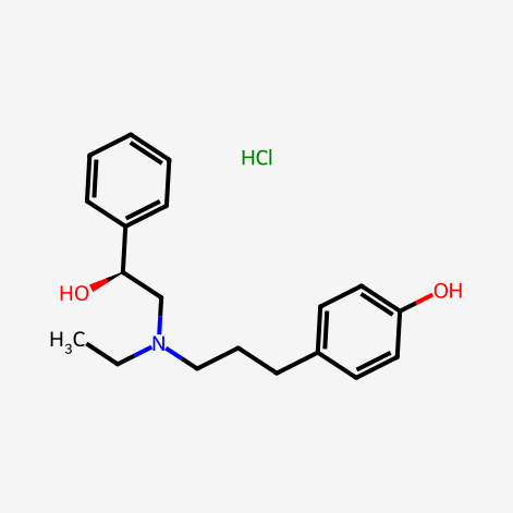 CCN(CCCc1ccc(O)cc1)C[C@@H](O)c1ccccc1.Cl